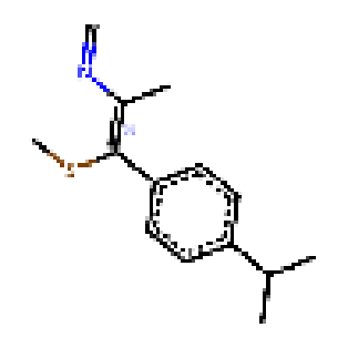 C=N/C(C)=C(\SC)c1ccc(C(C)C)cc1